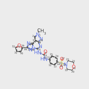 Cn1cc2c(nc(NC(=O)Nc3ccc(S(=O)(=O)N4CCOCC4)cc3)n3nc(-c4ccco4)nc23)n1